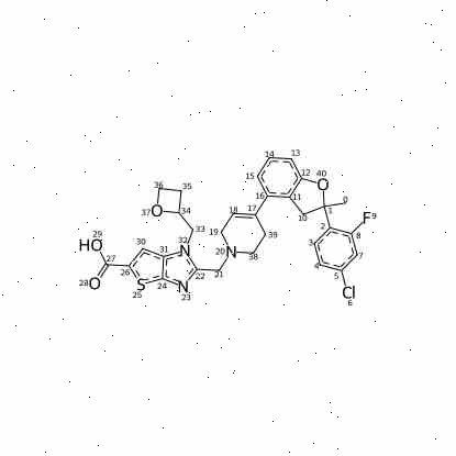 CC1(c2ccc(Cl)cc2F)Cc2c(cccc2C2=CCN(Cc3nc4sc(C(=O)O)cc4n3CC3CCO3)CC2)O1